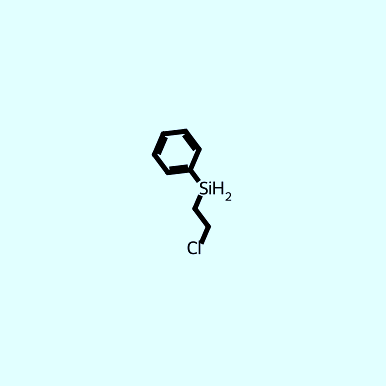 ClCC[SiH2]c1ccccc1